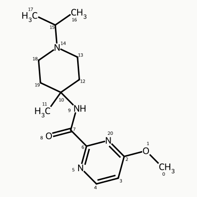 COc1ccnc(C(=O)NC2(C)CCN(C(C)C)CC2)n1